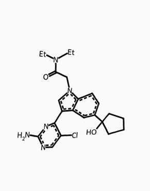 CCN(CC)C(=O)Cn1cc(-c2nc(N)ncc2Cl)c2cc(C3(O)CCCC3)ccc21